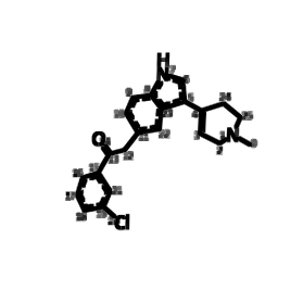 CN1CC=C(c2c[nH]c3ccc(CC(=O)c4cccc(Cl)c4)cc23)CC1